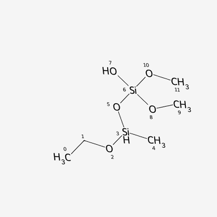 CCO[SiH](C)O[Si](O)(OC)OC